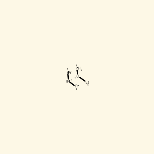 CC(C)NC(C)C.CCOP